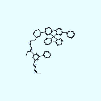 C/C=C\C=C\c1nc(/C(=C/C=C\CC2=CC(c3ccc4c(c3)C3(c5ccccc5-c5ccccc53)c3cc(-c5ccccc5)ccc3-4)CC=C2)CC)nc(-c2ccccc2)n1